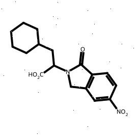 O=C(O)C(CC1CCCCC1)N1Cc2cc([N+](=O)[O-])ccc2C1=O